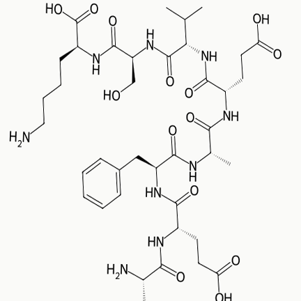 CC(C)[C@H](NC(=O)[C@H](CCC(=O)O)NC(=O)[C@H](C)NC(=O)[C@H](Cc1ccccc1)NC(=O)[C@H](CCC(=O)O)NC(=O)[C@H](C)N)C(=O)N[C@@H](CO)C(=O)N[C@@H](CCCCN)C(=O)O